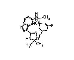 C[C@@H](Nc1ccn2ncc(C3=NOC(C)(C)N3)c2n1)C1(C)C=C(F)C=C(F)C1